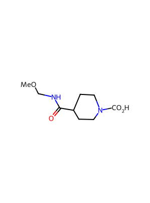 COCNC(=O)C1CCN(C(=O)O)CC1